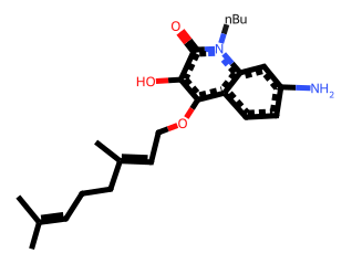 CCCCn1c(=O)c(O)c(OC/C=C(\C)CCC=C(C)C)c2ccc(N)cc21